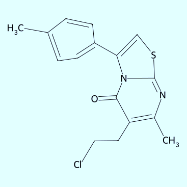 Cc1ccc(-c2csc3nc(C)c(CCCl)c(=O)n23)cc1